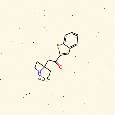 O=C(O)CC1(CC(=O)c2cc3ccccc3s2)CCN1